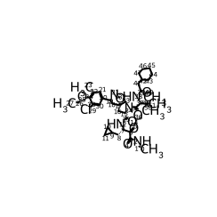 CCNC(=O)C(=O)[C@H](CC1CC1)NC(=O)[C@@H]1C[C@]2(CC(c3cc(C)c(OCC)c(Cl)c3)=NO2)CN1C(=O)[C@@H](NC(=O)CC1CCCCC1)C(C)(C)C